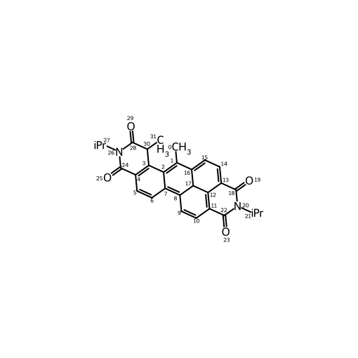 CC1=c2c3c(ccc2=C2C=CC4=C5C(=CC=C1C52)C(=O)N(C(C)C)C4=O)C(=O)N(C(C)C)C(=O)C3C